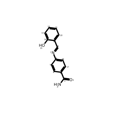 NC(=O)c1ccc(N=Cc2ccccc2O)cc1